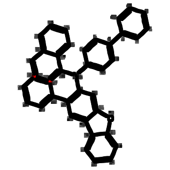 c1ccc(-c2ccc(N(c3cc4oc5ccccc5c4cc3-c3ccccc3)c3cccc4ccccc34)cc2)cc1